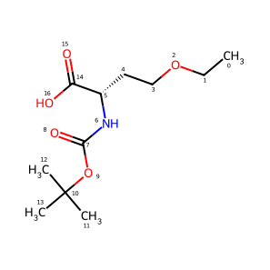 CCOCC[C@H](NC(=O)OC(C)(C)C)C(=O)O